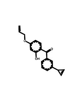 C=CCOc1ccc(C(=O)c2cccc(C3C=C3)c2)c(O)c1